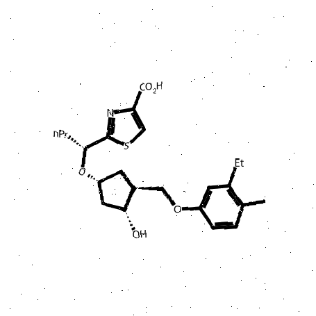 CCC[C@@H](O[C@@H]1C[C@@H](COc2ccc(C)c(CC)c2)[C@H](O)C1)c1nc(C(=O)O)cs1